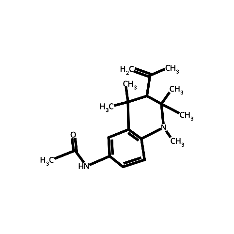 C=C(C)C1C(C)(C)c2cc(NC(C)=O)ccc2N(C)C1(C)C